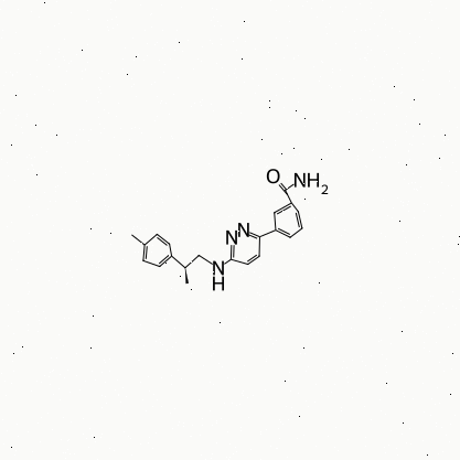 Cc1ccc([C@H](C)CNc2ccc(-c3cccc(C(N)=O)c3)nn2)cc1